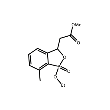 CCOP1(=O)OC(CC(=O)OC)c2cccc(C)c21